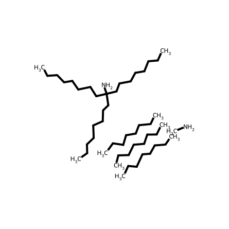 CCCCCCCC.CCCCCCCC.CCCCCCCC.CCCCCCCCC(N)(CCCCCCCC)CCCCCCCC.CN